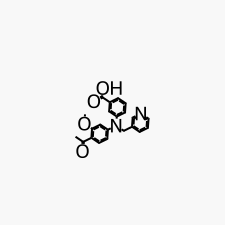 COc1cc(N(Cc2cccnc2)c2cccc(C(=O)O)c2)ccc1C(C)=O